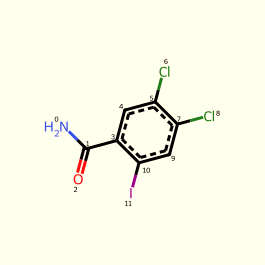 NC(=O)c1cc(Cl)c(Cl)cc1I